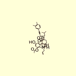 C=CCN1CC[C@]23c4c5c(OC(C)=O)cc(O)c4O[C@H]2[C@@H](N(CC(C)C)C(=O)C#Cc2ccc(C)c(C)c2)CC[C@H]3[C@H]1C5